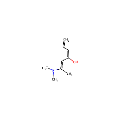 C=C/C=C(O)\C=C(/C)N(C)C